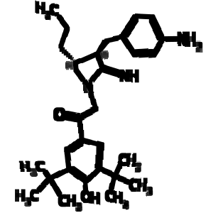 CCC[C@H]1CN(CC(=O)c2cc(C(C)(C)C)c(O)c(C(C)(C)C)c2)C(=N)[C@@H]1Cc1ccc(N)cc1